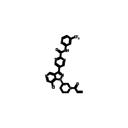 C=CC(=O)N1CCC[C@@H](n2nc(-c3cnc(C(=O)Nc4cc(C(F)(F)F)ccn4)nc3)c3cncc(Cl)c32)C1